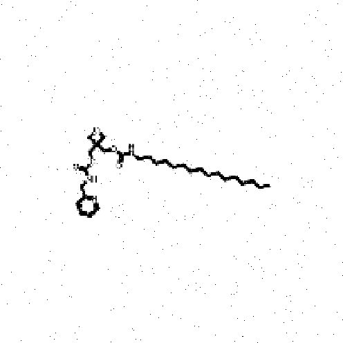 CCCCCCCCCCCCCCCCNC(=O)OCC1(COC(=O)NCc2ccccn2)COC1